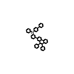 c1ccc(-c2ccc(N(c3ccccc3)c3cccc(-c4ccc5c(c4)c(-c4ccccc4)c(-c4ccccc4)c4ccccc45)c3)cc2)cc1